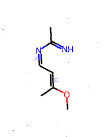 CO/C(C)=C/C=N\C(C)=N